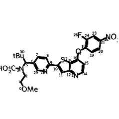 COCCN(C(=O)O)C(c1ccc(-c2cc3nccc(Oc4ccc([N+](=O)[O-])cc4F)c3s2)nc1)C(C)(C)C